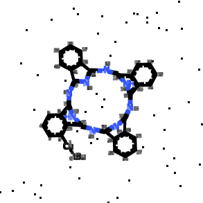 C[C](C)(C)[Cu][c]1cccc2c3nc4nc(nc5[nH]c(nc6nc(nc([nH]3)c12)-c1ccccc1-6)c1ccccc51)-c1ccccc1-4